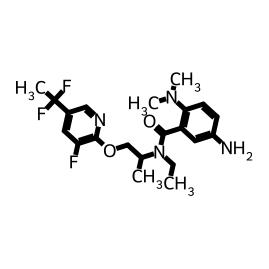 CCN(C(=O)c1cc(N)ccc1N(C)C)C(C)COc1ncc(C(C)(F)F)cc1F